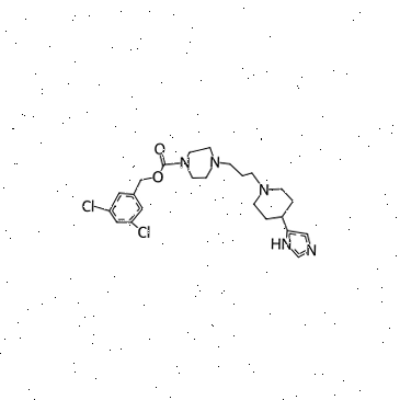 O=C(OCc1cc(Cl)cc(Cl)c1)N1CCN(CCCN2CCC(c3cnc[nH]3)CC2)CC1